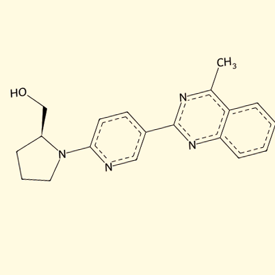 Cc1nc(-c2ccc(N3CCC[C@H]3CO)nc2)nc2ccccc12